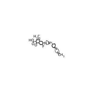 CCn1cc(C(=O)O)c(=O)c2cc(F)c(N3CCN(Cc4ccc(N5CCN(C)CC5)cc4)CC3)cc21